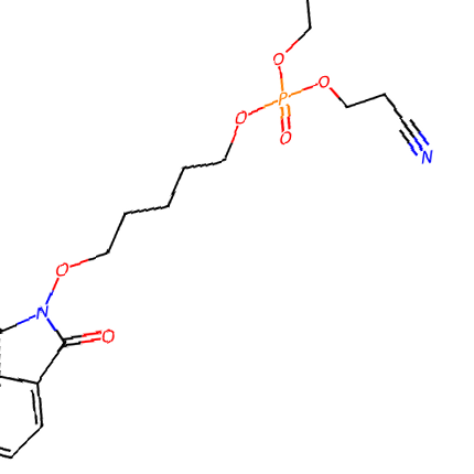 CCOP(=O)(OCCC#N)OCCCCCON1C(=O)c2ccccc2C1=O